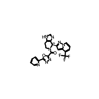 O=C(c1nnc(-c2ccccn2)o1)N1CCc2[nH]cnc2[C@H]1c1cc2c(C(F)(F)F)cccn2n1